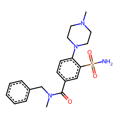 CN1CCN(c2ccc(C(=O)N(C)Cc3ccccc3)cc2S(N)(=O)=O)CC1